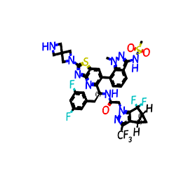 Cn1nc(NS(C)(=O)=O)c2cccc(-c3cc4sc(N5CC6(CNC6)C5)nc4nc3[C@H](Cc3cc(F)cc(F)c3)NC(=O)Cn3nc(C(F)(F)F)c4c3C(F)(F)[C@@H]3C[C@H]43)c21